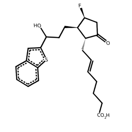 O=C(O)CCCC=CC[C@H]1C(=O)C[C@H](F)[C@@H]1CCC(O)c1cc2ccccc2s1